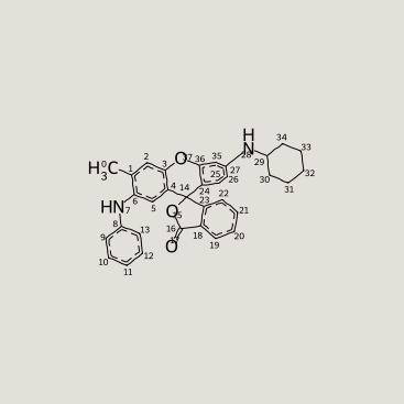 Cc1cc2c(cc1Nc1ccccc1)C1(OC(=O)c3ccccc31)c1ccc(NC3CCCCC3)cc1O2